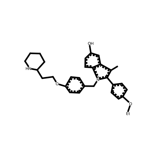 CCOc1ccc(-c2c(C)c3cc(O)ccc3n2Cc2ccc(OCCC3CCCCN3)cc2)cc1